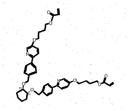 C=CC(=O)OCCCCOc1ccc(-c2ccc(CO[C@@H]3CCCC[C@H]3OCc3ccc(-c4ccc(OCCCCOC(=O)C=C)cn4)cc3)cc2)nc1